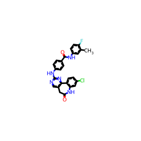 Cc1cc(NC(=O)c2ccc(Nc3ncc4c(n3)-c3ccc(Cl)cc3NC(=O)C4)cc2)ccc1F